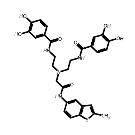 Cc1cc2cc(NC(=O)CN(CCNC(=O)c3ccc(O)c(O)c3)CCNC(=O)c3ccc(O)c(O)c3)ccc2s1